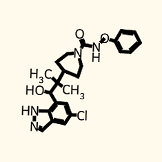 CC(C)(C1CCN(C(=O)NOc2ccccc2)CC1)C(O)c1cc(Cl)cc2cn[nH]c12